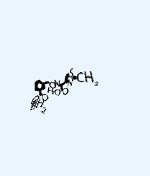 BOC(=O)c1cccc(CO/N=C(\C(=O)O)c2csc(C)n2)c1